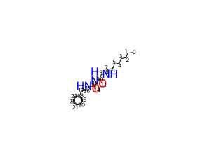 CCCCCCCCNCC(=O)NC(=O)NCCc1ccccc1